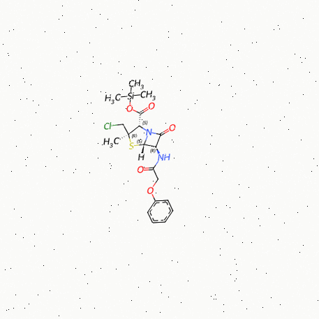 C[C@@]1(CCl)S[C@H]2[C@H](NC(=O)COc3ccccc3)C(=O)N2[C@H]1C(=O)O[Si](C)(C)C